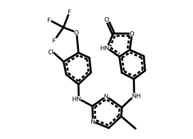 Cc1cnc(Nc2ccc(OC(F)(F)F)c(Cl)c2)nc1Nc1ccc2oc(=O)[nH]c2c1